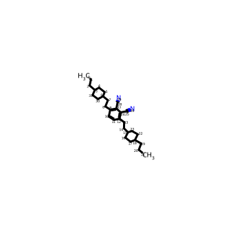 CCCC1CCC(CCc2ccc(CCC3CCC(CCC)CC3)c(C#N)c2C#N)CC1